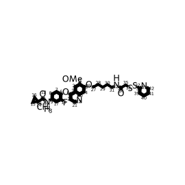 COc1cc2c(Oc3ccc(NC(=O)C4(C)CC4)cc3F)ccnc2cc1OCCCCCNC(=O)CSSc1ccccn1